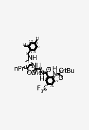 CCC[C@H](OC)[C@H](CNCc1ccc(C)cc1C)NC(=O)CNC(=O)c1cc(C(F)(F)F)ccc1NC(=O)OC(C)(C)C